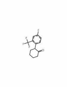 O=C1CCCCC1c1ccc(F)cc1C(F)(F)F